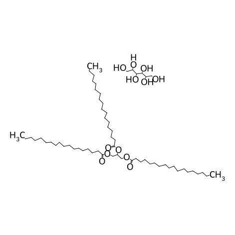 CCCCCCCCCCCCCCCCCC(=O)OCC(COC(=O)CCCCCCCCCCCCCCCCC)OC(=O)CCCCCCCCCCCCCCCCC.OCC(O)C(O)C(O)C(O)CO